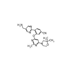 Cc1nc(Oc2cc(C#N)ccc2-c2ncc(CN)cn2)cc(N2CCOC(C)(C)C2)n1